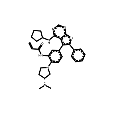 C=CC(=O)Nc1cc(-c2c(-c3ccccc3)oc3ncnc(NC4CCCC4)c23)ccc1N1CC[C@@H](N(C)C)C1